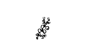 CSN(OC(=O)OC(=O)N(SC)SC)SC